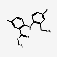 CCc1cc(F)ccc1Nc1ccc(F)cc1C(=O)OC